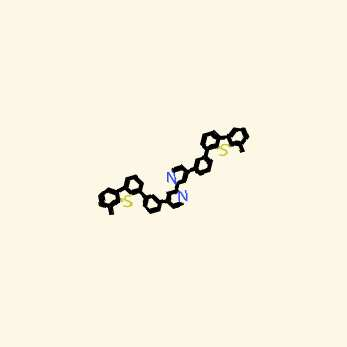 Cc1cccc2c1sc1c(-c3cccc(-c4ccnc(-c5cc(-c6cccc(-c7cccc8c7sc7c(C)cccc78)c6)ccn5)c4)c3)cccc12